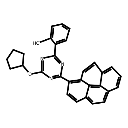 Oc1ccccc1-c1nc(OC2CCCC2)nc(-c2ccc3ccc4cccc5ccc2c3c45)n1